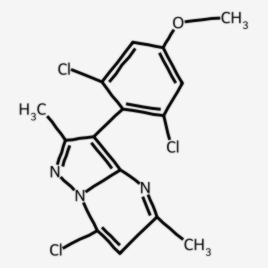 COc1cc(Cl)c(-c2c(C)nn3c(Cl)cc(C)nc23)c(Cl)c1